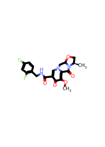 COc1c2n(cc(C(=O)NCc3ccc(F)cc3F)c1=O)CC1OC[C@@H](C)N1C2=O